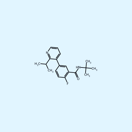 CC(C)c1ncccc1-c1ccc(F)c(C(=O)NC(C)(C)C)c1